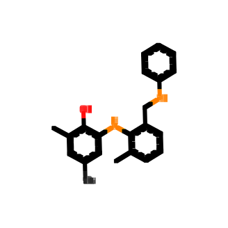 Cc1cc(C(C)(C)C)cc(Pc2c(C)cccc2CPc2ccccc2)c1O